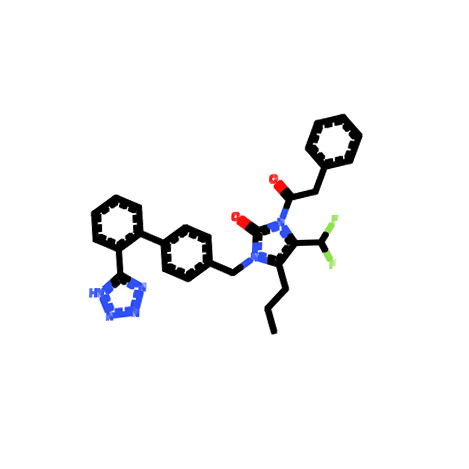 CCCc1c(C(F)F)n(C(=O)Cc2ccccc2)c(=O)n1Cc1ccc(-c2ccccc2-c2nnn[nH]2)cc1